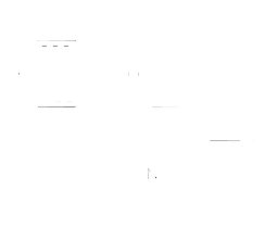 NCC(CC[O])Oc1ccccc1